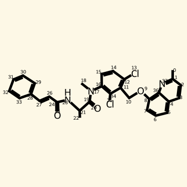 Cc1ccc2cccc(OCc3c(Cl)ccc(N(C)C(=O)C(C)NC(=O)/C=C/c4ccccc4)c3Cl)c2n1